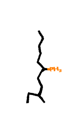 CCCCCC(P)CCC(C)CC